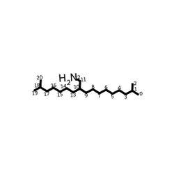 CC(C)CCCCCCCC(CN)CCCCCC(C)C